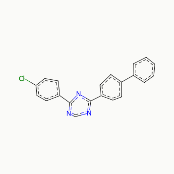 Clc1ccc(-c2ncnc(-c3ccc(-c4ccccc4)cc3)n2)cc1